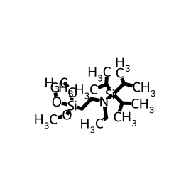 CCN(CC[Si](OC)(OC)OC)[Si](C(C)C)(C(C)C)C(C)C